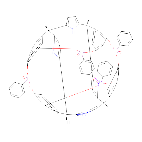 C[C@]12c3cc4cc(c3)OP(=O)(c3ccccc3)Oc3cc5cc(c3)[C@](C)(c3ccc([nH]3)[C@]3(C)c6cc(cc(c6)OP(=O)(c6ccccc6)O5)OP(=O)(c5ccccc5)Oc5cc(cc(c5)[C@](C)(c5ccc1[nH]5)c1ccc3[nH]1)OP(=O)(c1ccccc1)O4)c1ccc2[nH]1